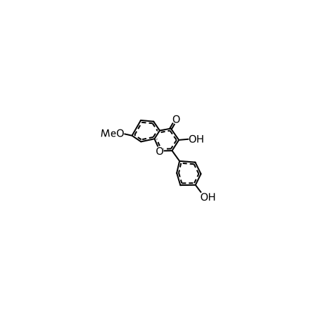 COc1ccc2c(=O)c(O)c(-c3ccc(O)cc3)oc2c1